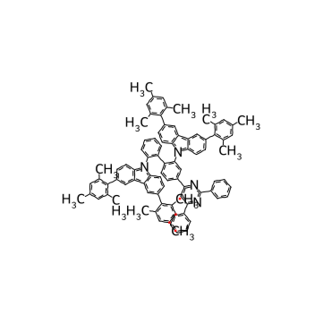 Cc1cc(C)c(-c2ccc3c(c2)c2cc(-c4c(C)cc(C)cc4C)ccc2n3-c2ccccc2-c2ccc(-c3cc(-c4ccccc4)nc(-c4ccccc4)n3)cc2-n2c3ccc(-c4c(C)cc(C)cc4C)cc3c3cc(-c4c(C)cc(C)cc4C)ccc32)c(C)c1